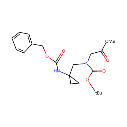 COC(=O)CN(CC1(NC(=O)OCc2ccccc2)CC1)C(=O)OC(C)(C)C